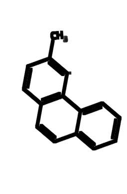 Cc1[c]c2c(cc1)ccc1ccccc12